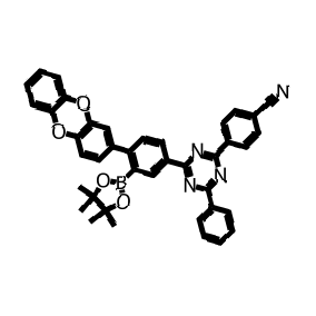 CC1(C)OB(c2cc(-c3nc(-c4ccccc4)nc(-c4ccc(C#N)cc4)n3)ccc2-c2ccc3c(c2)Oc2ccccc2O3)OC1(C)C